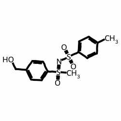 Cc1ccc(S(=O)(=O)N=S(C)(=O)c2ccc(CO)cc2)cc1